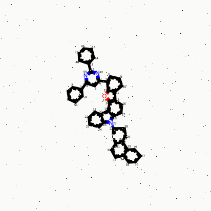 c1ccc(-c2cc(-c3cccc4c3oc3c4ccc4c3c3ccccc3n4-c3ccc4c(ccc5ccccc54)c3)nc(-c3ccccc3)n2)cc1